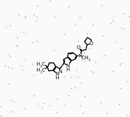 CN(C(=O)CC1CCCO1)c1ccc2cc(-c3n[nH]c4c3CCC(C)(C)C4)[nH]c2c1